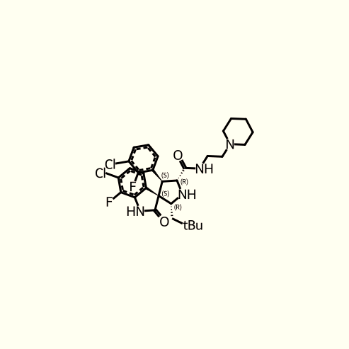 CC(C)(C)C[C@H]1N[C@@H](C(=O)NCCN2CCCCC2)[C@H](c2cccc(Cl)c2F)[C@@]12C(=O)Nc1c2ccc(Cl)c1F